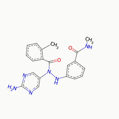 CNC(=O)c1cccc(NN(C(=O)c2ccccc2C)c2cnc(N)nc2)c1